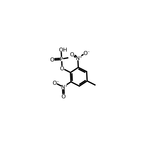 Cc1cc([N+](=O)[O-])c(OP(C)(=O)O)c([N+](=O)[O-])c1